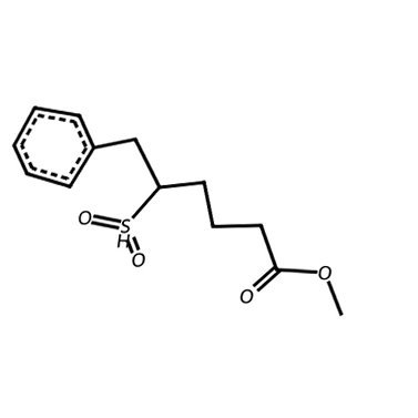 COC(=O)CCCC(Cc1ccccc1)[SH](=O)=O